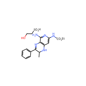 CCOC(=O)Nc1cc2c(c(N)n1)N=C(c1ccccc1)C(C)N2.O=S(=O)(O)CCO